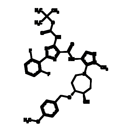 COc1ccc(CO[C@@H]2CCN(c3c(NC(=O)c4nc(-c5c(F)cccc5F)sc4NC(=O)OC(C)(C)C)cnn3C)CC[C@H]2O)cc1